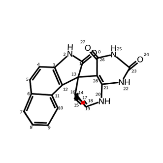 O=C1Nc2ccc3ccccc3c2C12c1ccccc1Nc1[nH]c(=O)[nH]c(=O)c12